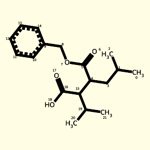 CC(C)CC(C(=O)OCc1ccccc1)C(C(=O)O)C(C)C